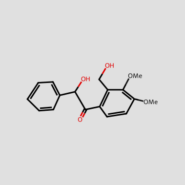 COc1ccc(C(=O)C(O)c2ccccc2)c(CO)c1OC